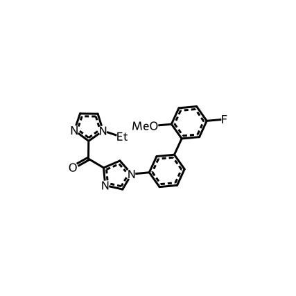 CCn1ccnc1C(=O)c1cn(-c2cccc(-c3cc(F)ccc3OC)c2)cn1